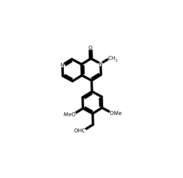 COc1cc(-c2cn(C)c(=O)c3cnccc23)cc(OC)c1CC=O